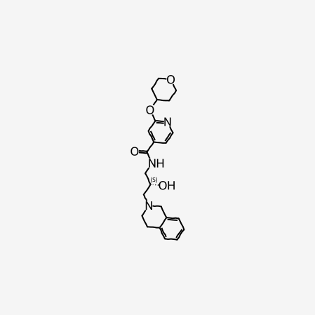 O=C(NC[C@H](O)CN1CCc2ccccc2C1)c1ccnc(OC2CCOCC2)c1